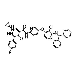 N=C(C(=O)/C(=C\NC1CC1)C(=O)Nc1ccc(Oc2ccnc(N=C(c3ccccc3)c3ccccc3)c2Cl)cn1)c1ccc(F)cc1